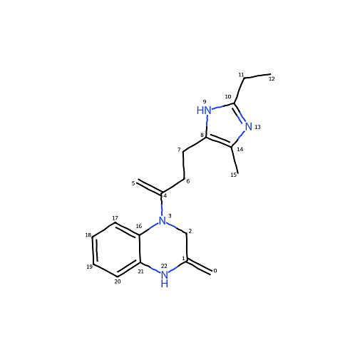 C=C1CN(C(=C)CCc2[nH]c(CC)nc2C)c2ccccc2N1